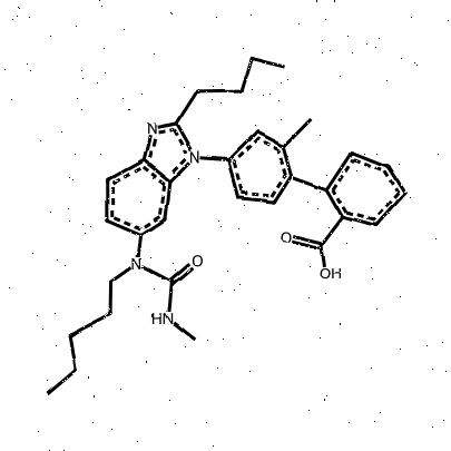 CCCCCN(C(=O)NC)c1ccc2nc(CCCC)n(-c3ccc(-c4ccccc4C(=O)O)c(C)c3)c2c1